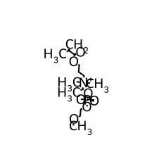 C=C(C)C(=O)OCCC[N+](C)(C)C(C)OP(=O)([O-])OCCOC